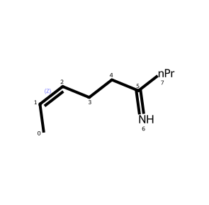 C/C=C\CCC(=N)CCC